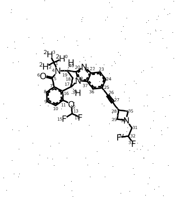 [2H]C([2H])([2H])N1C(=O)c2cccc(OC(F)F)c2[C@H]2C[C@@H]1c1nc3ccc(C#CC4CN(CC(F)F)C4)cc3n12